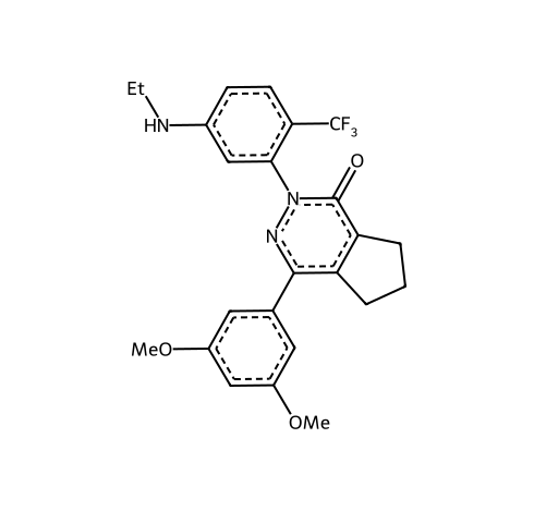 CCNc1ccc(C(F)(F)F)c(-n2nc(-c3cc(OC)cc(OC)c3)c3c(c2=O)CCC3)c1